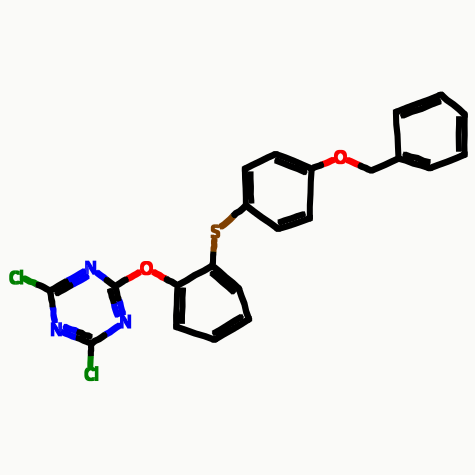 Clc1nc(Cl)nc(Oc2ccccc2Sc2ccc(OCc3ccccc3)cc2)n1